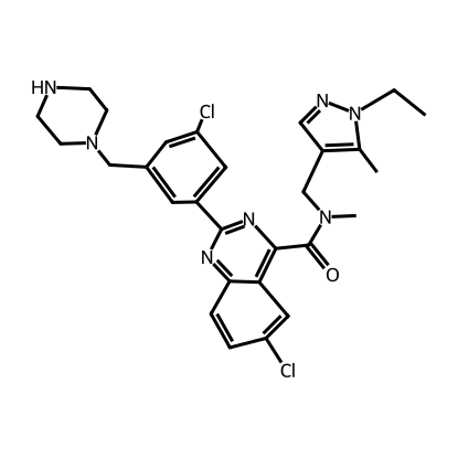 CCn1ncc(CN(C)C(=O)c2nc(-c3cc(Cl)cc(CN4CCNCC4)c3)nc3ccc(Cl)cc23)c1C